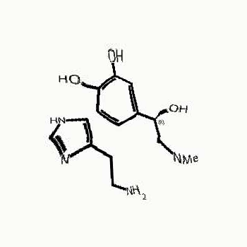 CNC[C@H](O)c1ccc(O)c(O)c1.NCCc1c[nH]cn1